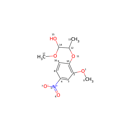 COc1cc([N+](=O)[O-])ccc1OC(C)C(O)OC